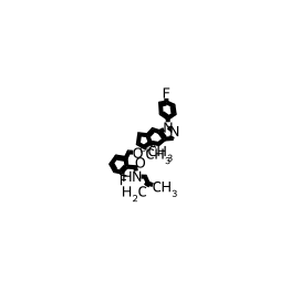 C=C(C)CNC(=O)c1c(F)cccc1CO[C@@]1(C)CCC2=Cc3c(cnn3-c3ccc(F)cc3)C[C@@]21C